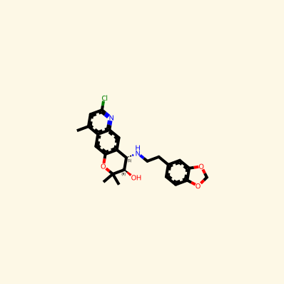 Cc1cc(Cl)nc2cc3c(cc12)OC(C)(C)[C@H](O)[C@H]3NCCc1ccc2c(c1)OCO2